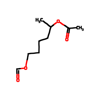 CC(=O)OC(C)CCCCOC=O